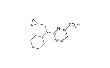 O=C(O)c1ccnc(N(CC2CC2)C2CCCCC2)n1